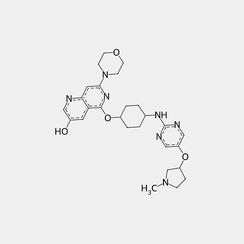 CN1CCC(Oc2cnc(NC3CCC(Oc4nc(N5CCOCC5)cc5ncc(O)cc45)CC3)nc2)C1